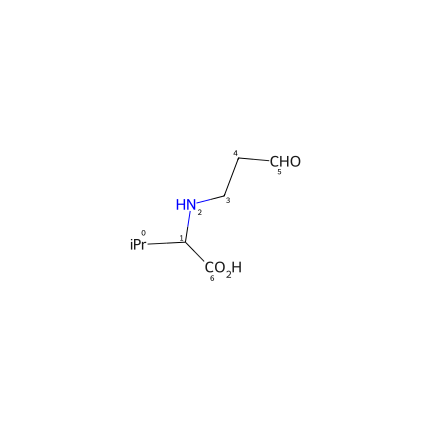 CC(C)C(NCCC=O)C(=O)O